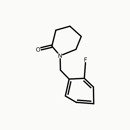 O=C1CCCCN1Cc1ccccc1F